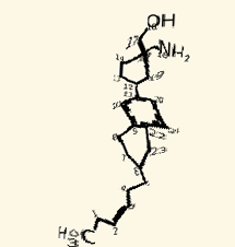 CC/C=C\CCC1CCc2cc([C@H]3CC[C@](N)(CO)C3)ccc2C1